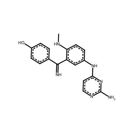 CNc1ccc(Nc2ccnc(N)n2)cc1C(=N)c1ccc(O)cc1